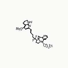 CCOC(=O)C(c1cccnc1C1CC1)N1CCC(C(F)(F)CCCCc2cc(OC)c3c(n2)NCCC3)C1